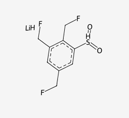 O=[SH](=O)c1cc(CF)cc(CF)c1CF.[LiH]